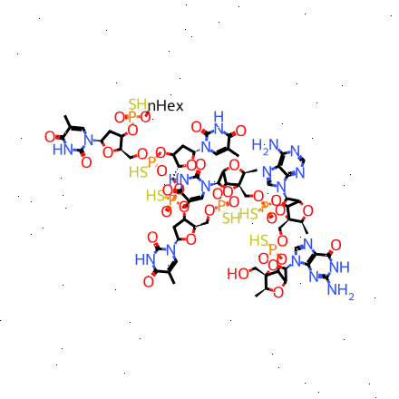 CCCCCCOP(=O)(S)OC1C[C@H](n2cc(C)c(=O)[nH]c2=O)O[C@@H]1COP(=O)(S)OC1C[C@H](n2cc(C)c(=O)[nH]c2=O)O[C@@H]1COP(=O)(S)OC1C[C@H](n2cc(C)c(=O)[nH]c2=O)O[C@@H]1COP(=O)(S)OC1C2O[C@@H](C)[C@]1(COP(=O)(S)OC1C3O[C@@H](C)[C@]1(COP(=O)(S)OC1C4O[C@@H](C)[C@]1(CO)O[C@H]4n1cnc4c(=O)[nH]c(N)nc41)O[C@H]3n1cnc3c(N)ncnc31)O[C@H]2n1cc(C)c(=O)[nH]c1=O